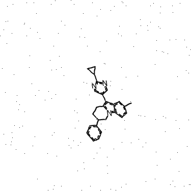 Cc1ccc2c(c1)c(-c1cnc(C3CC3)nc1)c1n2CC(c2ccccc2)CC1